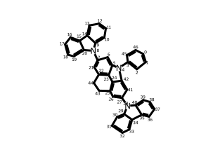 c1ccc(-n2c3cc(-n4c5ccccc5c5ccccc54)cc4c3c3c(cc(-n5c6ccccc6c6ccccc65)cc32)CC4)cc1